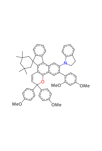 COc1ccc(C2(c3ccc(OC)cc3)C=Cc3c4c(c5cc(N6CCc7ccccc76)c(-c6ccc(OC)cc6OC)cc5c3O2)-c2ccccc2C42CC(C)(C)CC(C)(C)C2)cc1